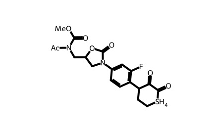 [CH2]OC(=O)N(CC1CN(c2ccc(C3CC[SH4]C(=O)C3=O)c(F)c2)C(=O)O1)C(C)=O